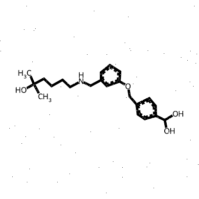 CC(C)(O)CCCCNCc1cccc(OCc2ccc(C(O)O)cc2)c1